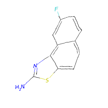 Nc1nc2c(ccc3ccc(F)cc32)s1